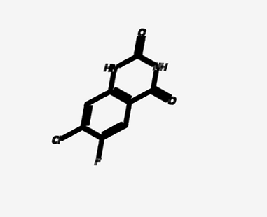 O=c1[nH]c(=O)c2cc(F)c(Cl)cc2[nH]1